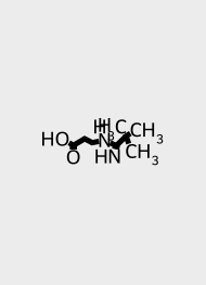 CC(C)(C)C(=N)NCCC(=O)O